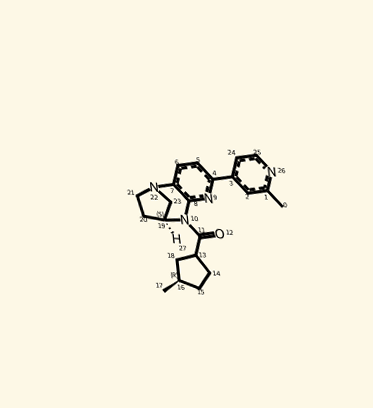 Cc1cc(-c2ccc3c(n2)N(C(=O)C2CC[C@@H](C)C2)[C@H]2CCN3C2)ccn1